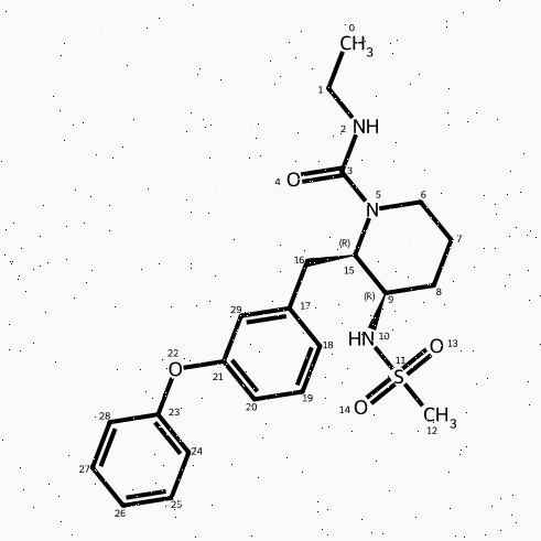 CCNC(=O)N1CCC[C@@H](NS(C)(=O)=O)[C@H]1Cc1cccc(Oc2ccccc2)c1